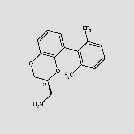 NC[C@H]1COc2cccc(-c3c(C(F)(F)F)cccc3C(F)(F)F)c2O1